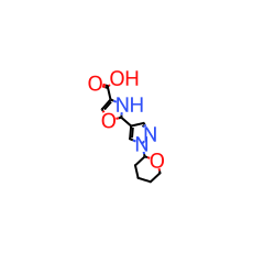 O=C(O)C1=COC(c2cnn(C3CCCCO3)c2)N1